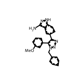 COc1cccc(-c2c(-c3ccc4[nH]nc(N)c4c3)nnn2Cc2ccccc2)c1